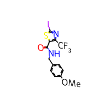 COc1ccc(CNC(=O)c2sc(I)nc2C(F)(F)F)cc1